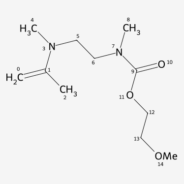 C=C(C)N(C)CCN(C)C(=O)OCCOC